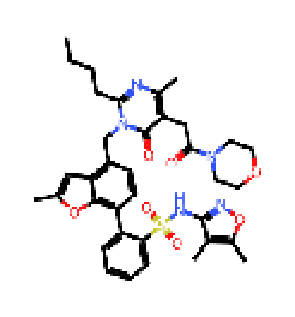 CCCCc1nc(C)c(CC(=O)N2CCOCC2)c(=O)n1Cc1ccc(-c2ccccc2S(=O)(=O)Nc2noc(C)c2C)c2oc(C)cc12